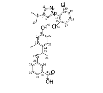 Cc1cc(OCc2c(C(C)C)cnn2-c2c(Cl)cccc2Cl)ccc1C(C)Sc1cccc(C(=O)O)c1